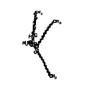 CCCCCCCCCCCCCCCCCC(=O)OC[C@H](COP(=O)(ON)OCCNC(=O)OCCOCCOCCOCCOC)OC(=O)CCCCCCCCCCCCCCCCC